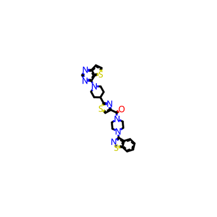 O=C(c1csc(C2CCN(c3ncnc4ccsc34)CC2)n1)N1CCN(c2nsc3ccccc23)CC1